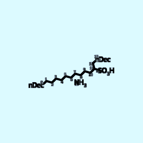 CCCCCCCCCCCCCCCCCCCCC(CCCCCCCCCCC)S(=O)(=O)O.N